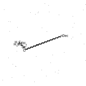 CCCCCCCCCCCCCCCCCCCCCCCCCCC=CCCCCCCCC(=O)[P-]OCC[N+](C)(C)C